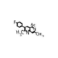 CC(=O)c1nc(C)cc2nc(C)c(-c3ccc(F)cc3)cc12